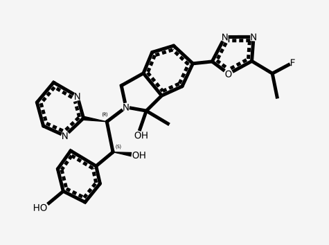 CC(F)c1nnc(-c2ccc3c(c2)C(C)(O)N([C@H](c2ncccn2)[C@@H](O)c2ccc(O)cc2)C3)o1